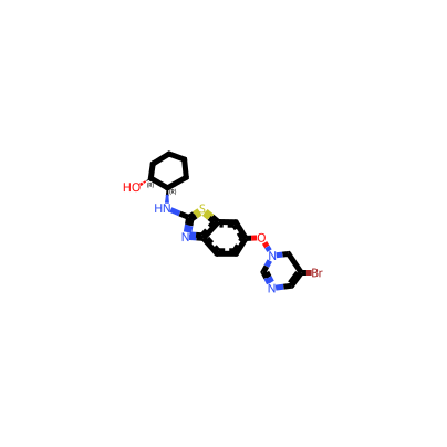 O[C@@H]1CCCC[C@H]1Nc1nc2ccc(ON3C=NC=C(Br)C3)cc2s1